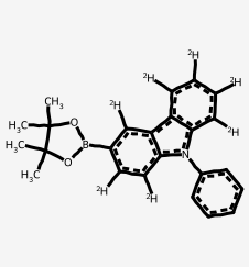 [2H]c1c([2H])c([2H])c2c(c1[2H])c1c([2H])c(B3OC(C)(C)C(C)(C)O3)c([2H])c([2H])c1n2-c1ccccc1